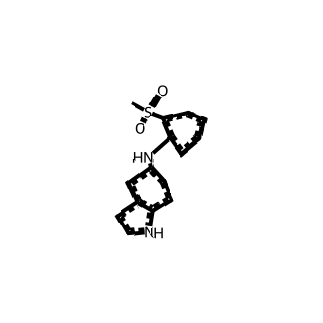 CS(=O)(=O)c1[c]cccc1Nc1ccc2[nH]ccc2c1